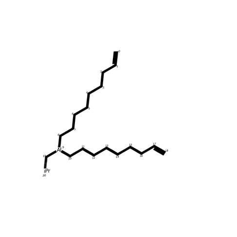 C=CCCCCCC[CH2][Al]([CH2]CCCCCCC=C)[CH2]C(C)C